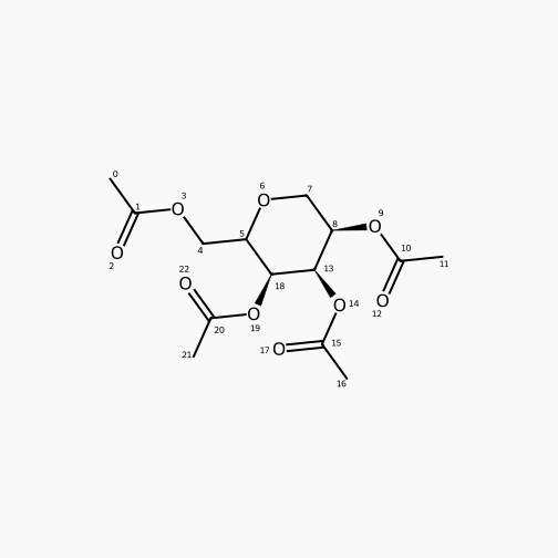 CC(=O)OCC1OC[C@@H](OC(C)=O)[C@@H](OC(C)=O)[C@H]1OC(C)=O